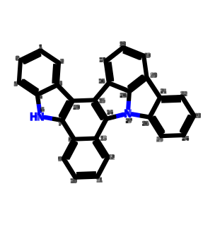 c1ccc2c(c1)[nH]c1c3ccccc3c3c(c4cccc5c6ccccc6n3c54)c21